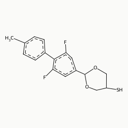 Cc1ccc(-c2c(F)cc(C3OCC(S)CO3)cc2F)cc1